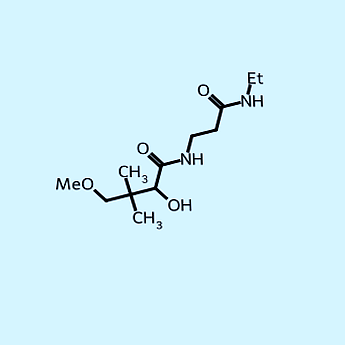 CCNC(=O)CCNC(=O)C(O)C(C)(C)COC